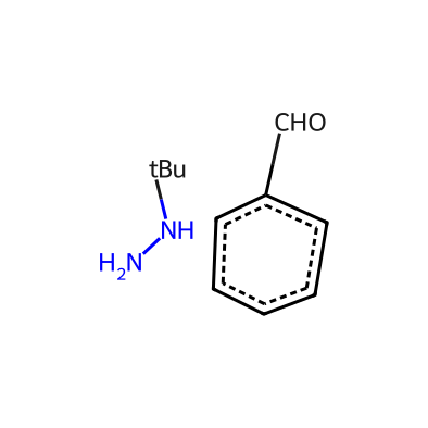 CC(C)(C)NN.O=Cc1ccccc1